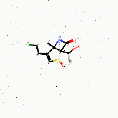 CC(C)[C@H](O)[C@]12C(=O)NC1(C)C(CCCl)=C[S+]2[O-]